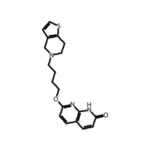 O=c1ccc2ccc(OCCCCN3CCc4sccc4C3)nc2[nH]1